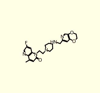 Cc1cc(=O)n(CCN2CCC(NCc3cc4c(cn3)OCCO4)CC2)c2cc(F)cnc12